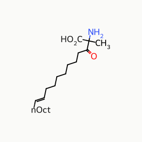 CCCCCCCCC=CCCCCCCCC(=O)C(C)(N)C(=O)O